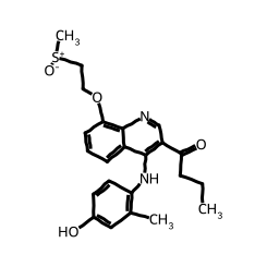 CCCC(=O)c1cnc2c(OCC[S+](C)[O-])cccc2c1Nc1ccc(O)cc1C